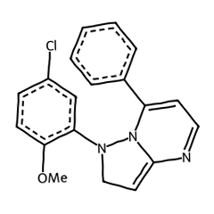 COc1ccc(Cl)cc1N1CC=C2N=CC=C(c3ccccc3)N21